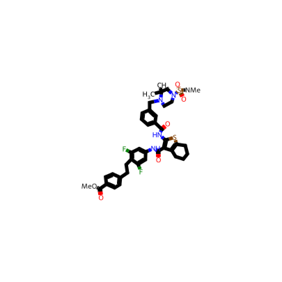 CNS(=O)(=O)N1CCN(Cc2cccc(C(=O)Nc3sc4c(c3C(=O)Nc3cc(F)c(CCc5ccc(C(=O)OC)cc5)c(F)c3)CCCC4)c2)C(C)(C)C1